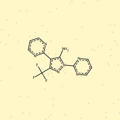 Nc1c(-c2ncccn2)c(C(F)(F)F)nn1-c1ncccn1